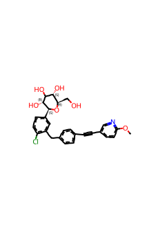 COc1ccc(C#Cc2ccc(Cc3cc([C@@H]4O[C@H](CO)[C@@H](O)C(O)[C@H]4O)ccc3Cl)cc2)cn1